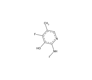 Cc1cnc(NI)c(O)c1F